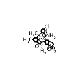 Cc1cc([C@@H](C)Oc2ccc(Cl)nc2C(N)=O)c2oc(-c3ccc4c(c3)N(C)C(=O)CC4)c(C)c(=O)c2c1